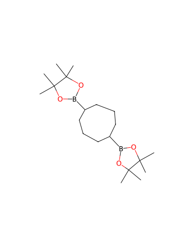 CC1(C)OB(C2CCCC(B3OC(C)(C)C(C)(C)O3)CCC2)OC1(C)C